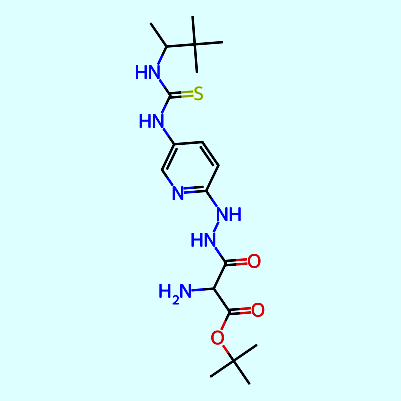 CC(NC(=S)Nc1ccc(NNC(=O)C(N)C(=O)OC(C)(C)C)nc1)C(C)(C)C